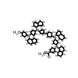 COC(=O)c1ccc(N(c2ccc(N(c3ccc(-c4ccc(N(c5ccc(N(c6ccc(C)cc6)c6cccc7ccccc67)cc5)c5cccc6ccccc56)cc4)cc3)c3cccc4ccccc34)cc2)c2cccc3ccccc23)cc1